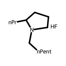 CCCCCCN1CCCC1CCC.F